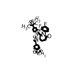 Cc1noc(C)c1-c1ccc2c(c1)nc(C1CCCC(=O)N1c1ccc(F)c(F)c1)n2-c1nc(-c2ccc(S(C)(=O)=O)cc2)cs1